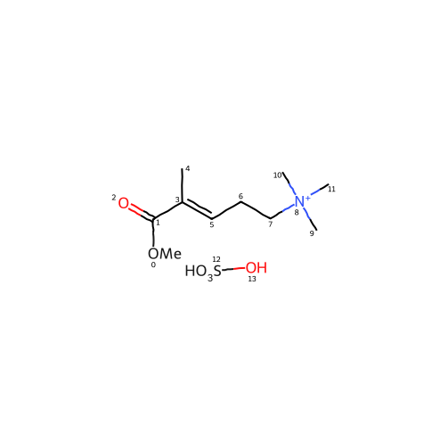 COC(=O)C(C)=CCC[N+](C)(C)C.O=S(=O)(O)O